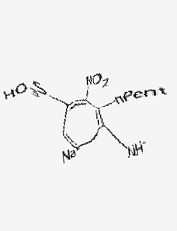 CCCCCc1c([NH-])ccc(S(=O)(=O)O)c1[N+](=O)[O-].[Na+]